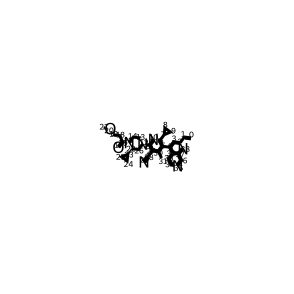 C=Cc1cc(-c2c(C3CC3)nc(N3CCN(C(=O)CCOC)[C@H](C4CC4)C3)c(C#N)c2C)c2ccncc2n1